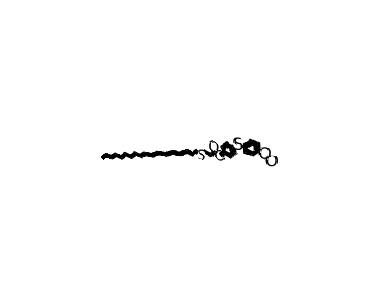 CCCCCCCCCCCCCCCCCCSCCC(=O)Oc1ccc(Sc2ccc(OC=O)cc2)cc1